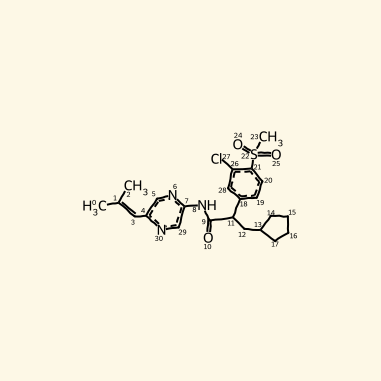 CC(C)=Cc1cnc(NC(=O)C(CC2CCCC2)c2ccc(S(C)(=O)=O)c(Cl)c2)cn1